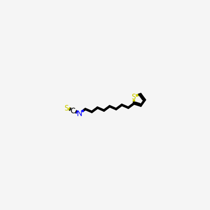 S=C=NCCCCCCCCc1cccs1